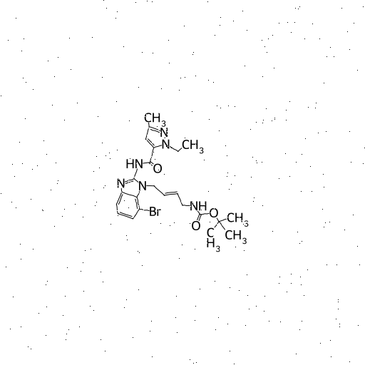 CCn1nc(C)cc1C(=O)Nc1nc2cccc(Br)c2n1C/C=C/CNC(=O)OC(C)(C)C